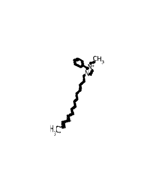 CCCCCCCCCCCCCCCn1cc[n+](CCC)c1-c1ccccc1